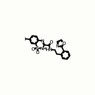 O=C(NCCc1ccccc1-c1ncco1)C1=Nc2ccc(I)cc2S(=O)(=O)N1